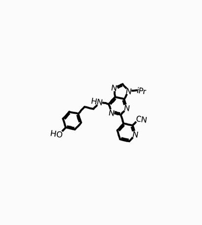 CC(C)n1cnc2c(NCCc3ccc(O)cc3)nc(-c3cccnc3C#N)nc21